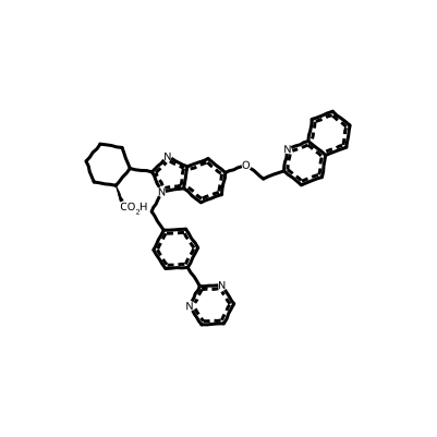 O=C(O)[C@H]1CCCCC1c1nc2cc(OCc3ccc4ccccc4n3)ccc2n1Cc1ccc(-c2ncccn2)cc1